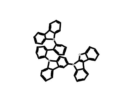 c1ccc(-n2c3ccccc3c3ccccc32)c(-c2ccccc2-n2c3ccccc3c3cc(-n4c5ccccc5c5c6ccccc6oc54)ccc32)c1